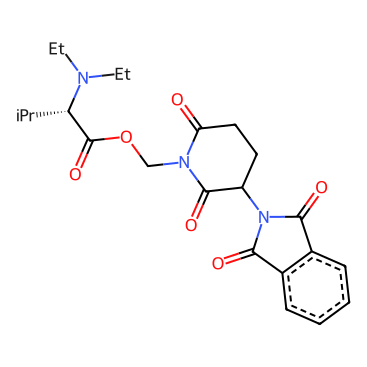 CCN(CC)[C@H](C(=O)OCN1C(=O)CCC(N2C(=O)c3ccccc3C2=O)C1=O)C(C)C